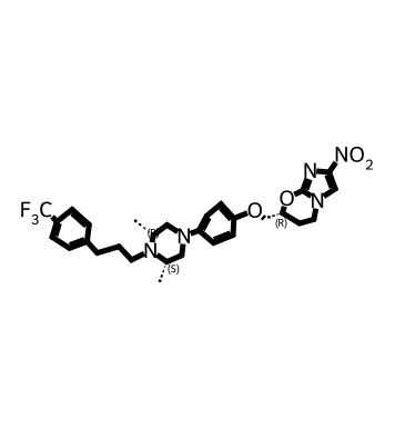 C[C@@H]1CN(c2ccc(OC[C@H]3CCn4cc([N+](=O)[O-])nc4O3)cc2)C[C@H](C)N1CCCc1ccc(C(F)(F)F)cc1